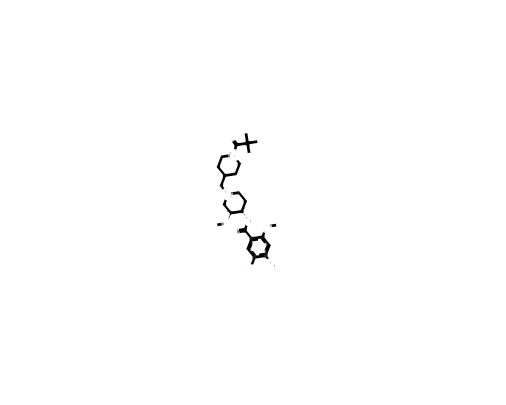 COc1cc(N)c(Cl)cc1C(=O)N[C@@H]1CCN(CC2CCN(C(=S)C(C)(C)C)CC2)C[C@@H]1OC